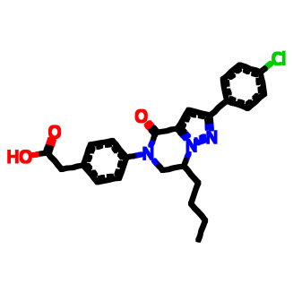 CCCCC1CN(c2ccc(CC(=O)O)cc2)C(=O)c2cc(-c3ccc(Cl)cc3)nn21